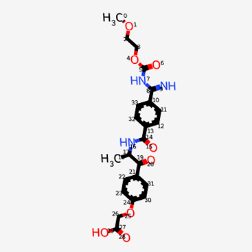 COCCOC(=O)NC(=N)c1ccc(C(=O)NC(C)C(=O)c2ccc(OCC(=O)O)cc2)cc1